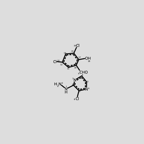 NNc1nccnc1Cl.O=Cc1cc(Cl)cc(Cl)c1O